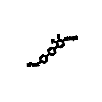 CCCCCCCc1ccc(-c2ccc(-c3ccc(CCCCC)cc3)cc2)c(F)c1F